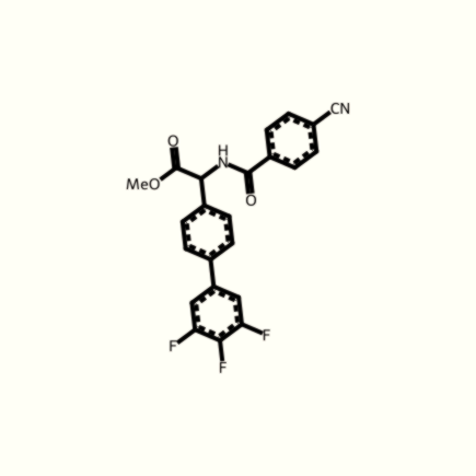 COC(=O)C(NC(=O)c1ccc(C#N)cc1)c1ccc(-c2cc(F)c(F)c(F)c2)cc1